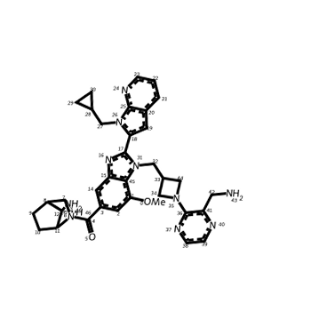 COc1cc(C(=O)N2CC3CCC2[C@@H]3N)cc2nc(-c3cc4cccnc4n3CC3CC3)n(CC3CN(c4nccnc4CN)C3)c12